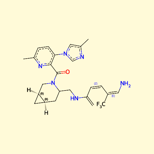 C=C(/C=C\C(=C/N)C(F)(F)F)NCC1C[C@H]2C[C@H]2CN1C(=O)c1nc(C)ccc1-n1cnc(C)c1